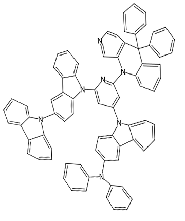 c1ccc(N(c2ccccc2)c2ccc3c(c2)c2ccccc2n3-c2cc(N3c4ccccc4C(c4ccccc4)(c4ccccc4)c4ccncc43)nc(-n3c4ccccc4c4cc(-n5c6ccccc6c6ccccc65)ccc43)c2)cc1